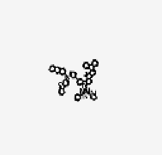 CC1(C)c2c(ccc3c4ccccc4c4ccccc4c23)-c2ccc3c(c21)c1cc(-c2cccc(N(c4ccc5cc6ccccc6cc5c4)c4ccc5c(c4)sc4ccccc45)c2)ccc1n3-c1nc(-c2ccccc2)nc(-c2ccccn2)n1